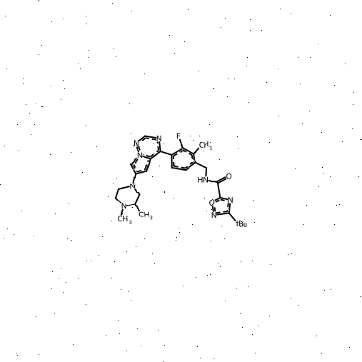 Cc1c(CNC(=O)c2nc(C(C)(C)C)no2)ccc(-c2ncnn3cc(N4CCN(C)C(C)C4)cc23)c1F